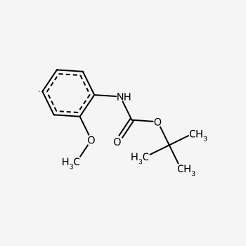 COc1c[c]ccc1NC(=O)OC(C)(C)C